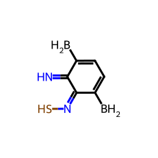 BC1=CC=C(B)/C(=N/S)C1=N